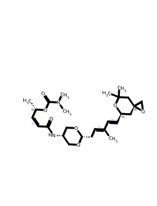 CC(/C=C/[C@@H]1C[C@]2(CO2)CC(C)(C)O1)=C\C[C@H]1OC[C@@H](NC(=O)/C=C\[C@H](C)OC(=O)N(C)C)CO1